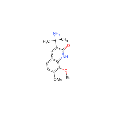 CCOc1c(OC)ccc2cc(C(C)(C)N)c(=O)[nH]c12